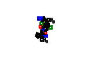 Cc1[nH]c(=O)c(CN2CCc3c(Cl)cc(C(C)C4CNC4)c(Cl)c3C2=O)c2c1CC=C2